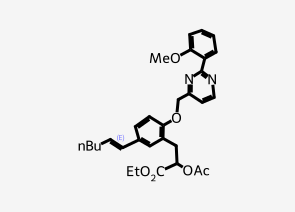 CCCC/C=C/c1ccc(OCc2ccnc(-c3ccccc3OC)n2)c(CC(OC(C)=O)C(=O)OCC)c1